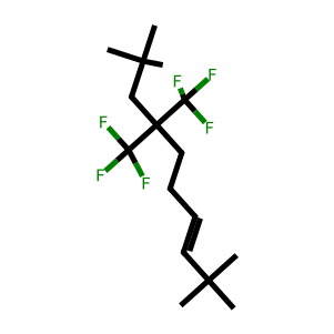 CC(C)(C)/C=C/CCC(CC(C)(C)C)(C(F)(F)F)C(F)(F)F